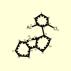 CC(=O)c1cccc(Cl)c1-c1cccc2c1oc1ccccc12